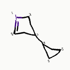 C1=ICC1C1CC1